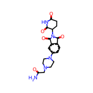 NC(=O)CN1CCN(c2ccc3c(c2)C(=O)N(C2CCC(=O)NC2=O)C3=O)CC1